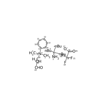 CCCCC(N)(CCCC)CCCC.C[N+](C)(C)c1ccccc1.O=C([O-])C(F)(F)F.O=CO